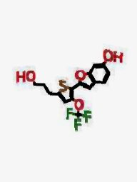 OCCCc1cc(OC(F)(F)F)c(-c2cc3ccc(O)cc3o2)s1